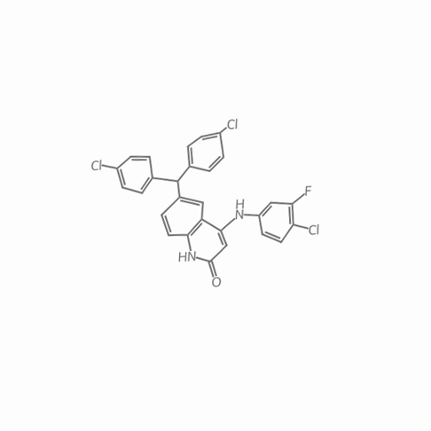 O=c1cc(Nc2ccc(Cl)c(F)c2)c2cc(C(c3ccc(Cl)cc3)c3ccc(Cl)cc3)ccc2[nH]1